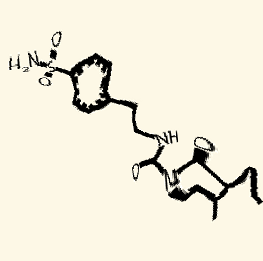 CCC1C(=O)N(C(=O)NCCc2ccc(S(N)(=O)=O)cc2)C=C1C